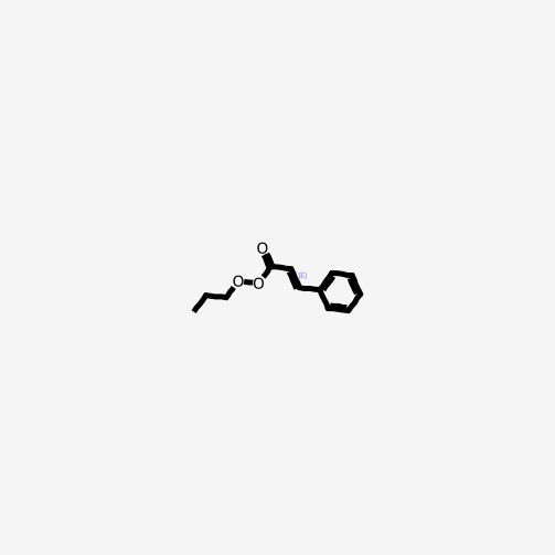 CCCOOC(=O)/C=C/c1ccccc1